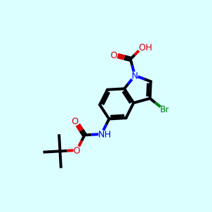 CC(C)(C)OC(=O)Nc1ccc2c(c1)c(Br)cn2C(=O)O